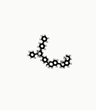 CC1(c2ccc(-c3cc(-c4ccc(-c5ccccc5)cc4)nc(-c4ccccc4)n3)cc2)C=Cc2cc(-c3ccc4ccc5cccnc5c4n3)ccc2C1